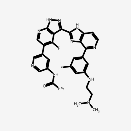 CCCC(=O)Nc1cncc(-c2cnc3[nH]nc(-c4nc5c(-c6cc(F)cc(NCCN(C)C)c6)nccc5[nH]4)c3c2F)c1